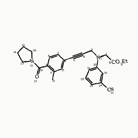 CCOC(=O)CN(CC#Cc1ccc(C(=O)N2CCCC2)c(C)c1)c1cccc(C#N)c1